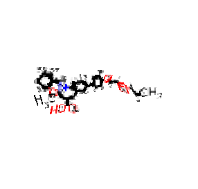 CCCOCCOc1ccc(-c2ccc3c(c2)C=C(C(=O)O)CCN3Cc2ccccc2OC)cc1